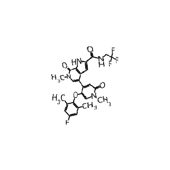 Cc1cc(F)cc(C)c1Oc1cn(C)c(=O)cc1-c1cn(C)c(=O)c2[nH]c(C(=O)NCC(F)(F)F)cc12